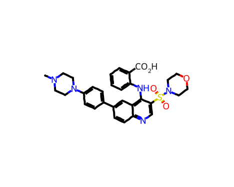 CN1CCN(c2ccc(-c3ccc4ncc(S(=O)(=O)N5CCOCC5)c(Nc5ccccc5C(=O)O)c4c3)cc2)CC1